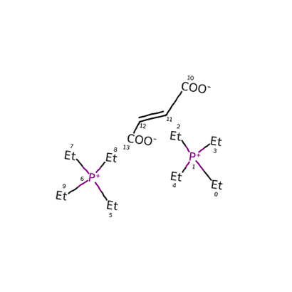 CC[P+](CC)(CC)CC.CC[P+](CC)(CC)CC.O=C([O-])/C=C/C(=O)[O-]